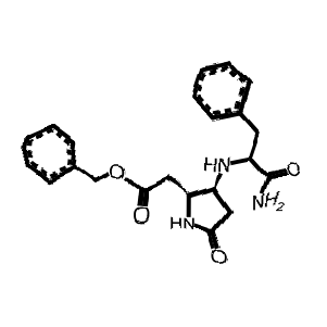 NC(=O)C(Cc1ccccc1)N[C@H]1CC(=O)N[C@H]1CC(=O)OCc1ccccc1